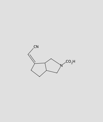 N#C/C=C1/CCC2CN(C(=O)O)CC12